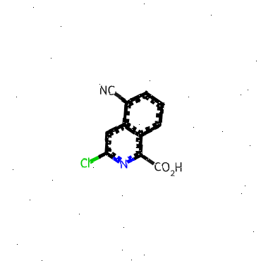 N#Cc1cccc2c(C(=O)O)nc(Cl)cc12